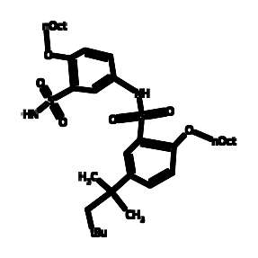 CCCCCCCCOc1ccc(NS(=O)(=O)c2cc(C(C)(C)CC(C)(C)C)ccc2OCCCCCCCC)cc1S([NH])(=O)=O